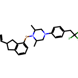 C=CC1Cc2cccc(SN3C(C)CN(c4ccc(CC(F)(F)F)cc4)CC3C)c2C1